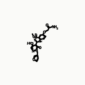 COP1(=O)N=C(c2c(O)cnn(Cc3ccoc3)c2=O)Nc2ccc(OCC(N)=O)cc21